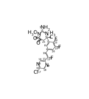 CN1C(N)=N[C@](C)(c2cc(/C=C(\F)c3cnc(Cl)cn3)cc(F)c2F)CS1(=O)=O